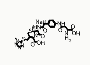 Cn1nnnc1SCC1=C(C(=O)O)N2C(=O)[C@@H](NC(=O)Cc3ccc(NC(=O)C[C@@H](N)C(=O)O)cc3)[C@H]2SC1.[NaH]